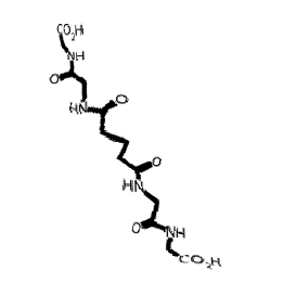 O=C(O)CNC(=O)CNC(=O)CCCC(=O)NCC(=O)NCC(=O)O